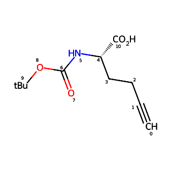 C#CCC[C@H](NC(=O)OC(C)(C)C)C(=O)O